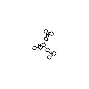 c1ccc(-c2ncc3c(-c4ccc(-n5c6ccccc6c6ccccc65)cc4)cc(-c4ccc(-n5c6ccccc6c6ccccc65)cc4)cc3n2)cc1